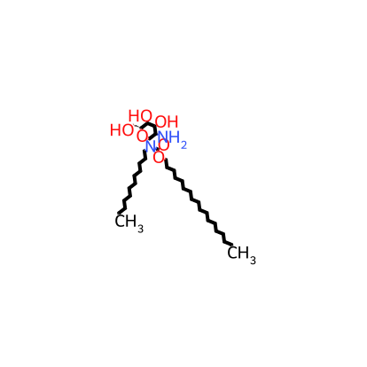 CCCCCCCCCCCCCCCCCCOC(=O)N(CCCCCCCCCCCC)[C@@H]1O[C@H](CO)[C@@H](O)[C@H](O)[C@H]1N